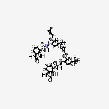 O=C(/C=C/c1ccc(C(F)(F)F)nc1OCC1CC1)Nc1cccc2[nH]c(=O)[nH]c12.O=C(/C=C/c1ccc(C(F)(F)F)nc1OCC1CC1)Nc1cccc2[nH]c(=O)[nH]c12